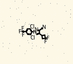 N#Cc1nn(-c2c(Cl)cc(C(F)(F)F)cc2Cl)cc1C1CC(F)(F)C1